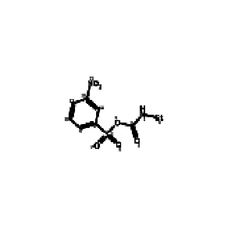 CCNC(=O)OS(=O)(=O)c1cccc([N+](=O)[O-])c1